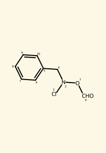 O=CON(Cl)Cc1ccccc1